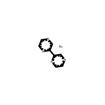 [Ru].c1cnc(-c2cnccn2)cn1